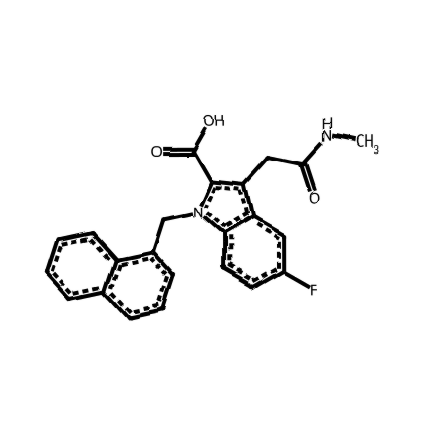 CNC(=O)Cc1c(C(=O)O)n(Cc2cccc3ccccc23)c2ccc(F)cc12